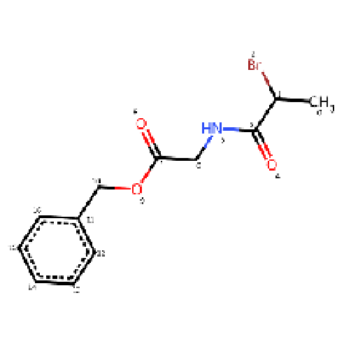 CC(Br)C(=O)NCC(=O)OCc1ccccc1